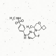 CNS(=O)(=O)c1ccc(Nc2ncc(F)c(N3CC4(CCC4)OC[C@@H]3C)n2)cc1